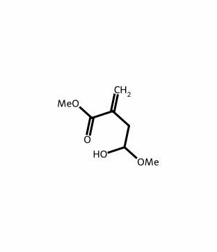 C=C(CC(O)OC)C(=O)OC